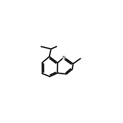 [CH2]c1ccc2cccc(C(C)C)c2n1